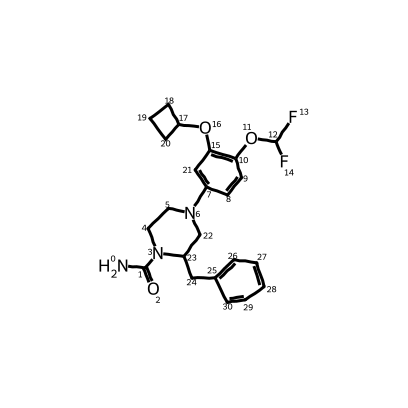 NC(=O)N1CCN(c2ccc(OC(F)F)c(OC3CCC3)c2)CC1Cc1ccccc1